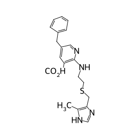 Cc1[nH]cnc1CSCCNc1ncc(Cc2ccccc2)cc1C(=O)O